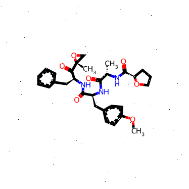 COc1ccc(C[C@H](NC(=O)[C@H](C)NC(=O)[C@H]2CCCO2)C(=O)N[C@@H](Cc2ccccc2)C(=O)[C@@]2(C)CO2)cc1